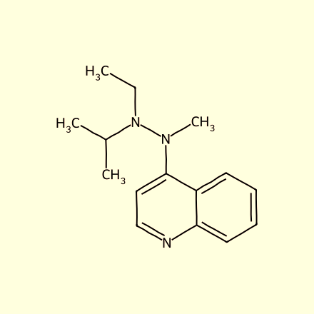 CCN(C(C)C)N(C)c1ccnc2ccccc12